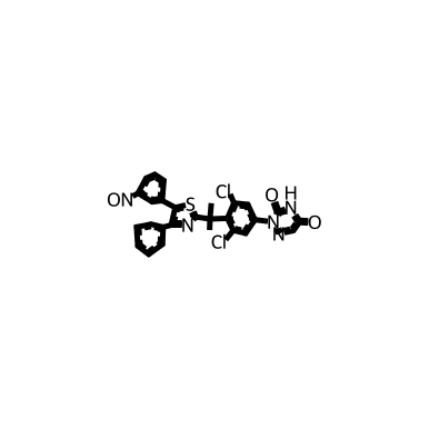 CC(C)(c1nc(-c2ccccc2)c(-c2cccc(N=O)c2)s1)c1c(Cl)cc(-n2ncc(=O)[nH]c2=O)cc1Cl